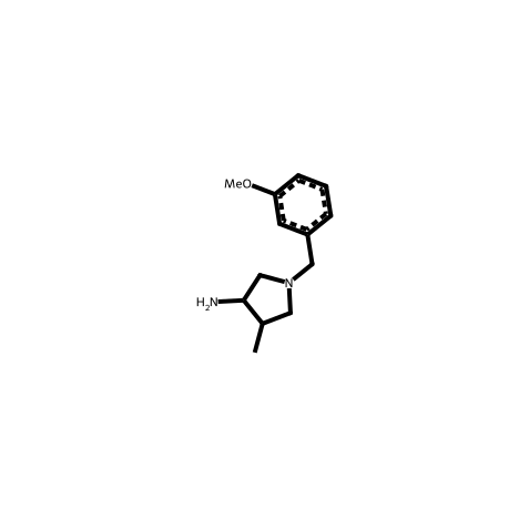 COc1cccc(CN2CC(C)C(N)C2)c1